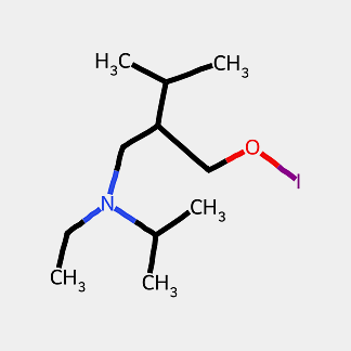 CCN(CC(COI)C(C)C)C(C)C